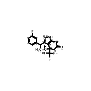 CC(c1cccc(F)c1)c1n[nH]c2c1C(O)(C(F)(F)F)CC(=O)N2